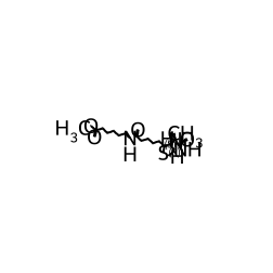 COC(=O)CCCCCNC(=O)CCCCC1SC[C@@H]2NC(=O)N(C)[C@H]12